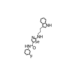 O=C(Nc1cccc(F)c1)c1cnc(NCCCc2c[nH]c3ccccc23)[se]1